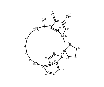 O=C1NCCCCCOc2ccnc3c2ccn3C2(CCCC2)Cn2cc(O)c(=O)c1n2